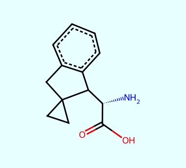 N[C@H](C(=O)O)C1c2ccccc2CC12CC2